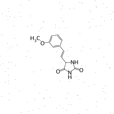 COc1cccc(C=CC2NC(=O)NC2=O)c1